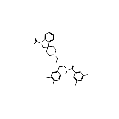 CCC(=O)N1CC2(CCN(CC[C@H](CN(C)C(=O)c3cc(C)cc(C)c3)c3ccc(Cl)c(Cl)c3)CC2)c2ccccc21